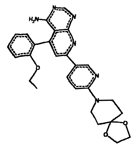 CCOc1ccccc1-c1cc(-c2ccc(N3CCC4(CC3)OCCO4)nc2)nc2ncnc(N)c12